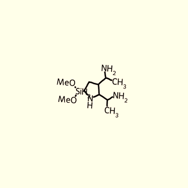 CC(N)C1CCNC1C(C)N.CO[SiH2]OC